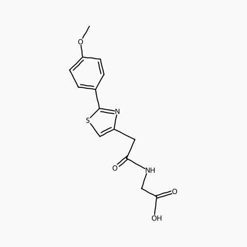 COc1ccc(-c2nc(CC(=O)NCC(=O)O)cs2)cc1